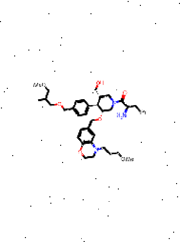 COCCCN1CCOc2ccc(CO[C@H]3CN(C(=O)C(N)CC(C)C)C[C@@H](CO)[C@@H]3c3ccc(COCC(C)COC)cc3)cc21